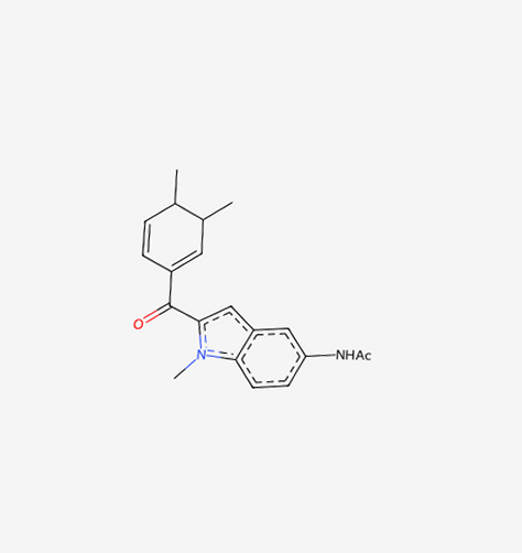 CC(=O)Nc1ccc2c(c1)cc(C(=O)C1=CC(C)C(C)C=C1)n2C